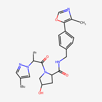 Cc1ncoc1-c1ccc(CNC(=O)C2CC(O)CN2C(=O)C(C(C)C)n2cc(C(C)(C)C)cn2)cc1